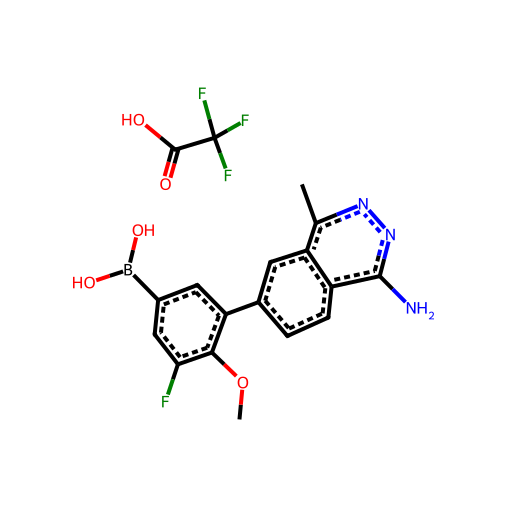 COc1c(F)cc(B(O)O)cc1-c1ccc2c(N)nnc(C)c2c1.O=C(O)C(F)(F)F